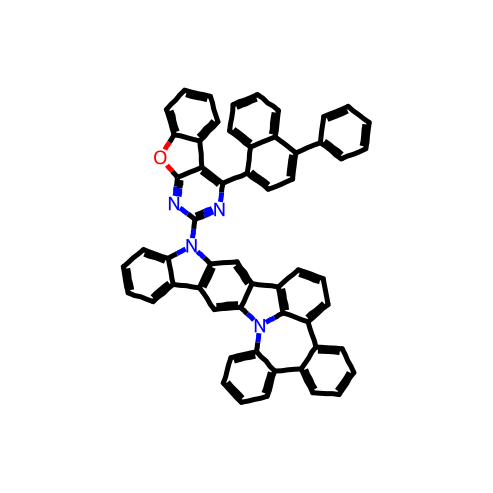 c1ccc(-c2ccc(-c3nc(-n4c5ccccc5c5cc6c(cc54)c4cccc5c4n6-c4ccccc4-c4ccccc4-5)nc4oc5ccccc5c34)c3ccccc23)cc1